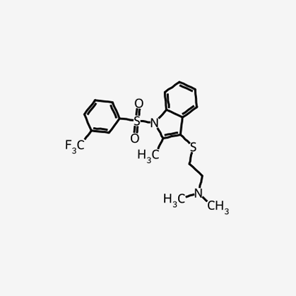 Cc1c(SCCN(C)C)c2ccccc2n1S(=O)(=O)c1cccc(C(F)(F)F)c1